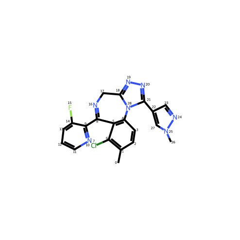 Cc1ccc2c(c1Cl)C(c1ncccc1F)=NCc1nnc(-c3cnn(C)c3)n1-2